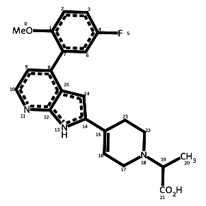 COc1ccc(F)cc1-c1ccnc2[nH]c(C3=CCN(C(C)C(=O)O)CC3)cc12